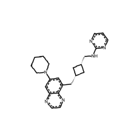 c1cnc(NC[C@H]2C[C@@H](Cc3cc(N4CCCCC4)cc4nccnc34)C2)nc1